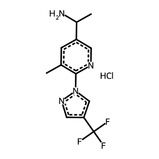 Cc1cc(C(C)N)cnc1-n1cc(C(F)(F)F)cn1.Cl